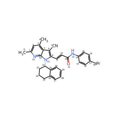 Cc1cc(C)c2c(C#N)c(C=CC(=O)Nc3ccc(C(C)C)cc3)n([C@H]3CCCc4ccccc43)c2n1